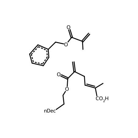 C=C(C)C(=O)OCc1ccccc1.C=C(CC=C(C)C(=O)O)C(=O)OCCCCCCCCCCCC